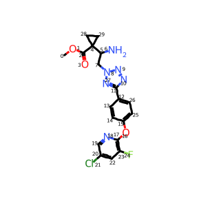 COC(=O)C1(C(N)Cn2nnc(-c3ccc(Oc4ncc(Cl)cc4F)cc3)n2)CC1